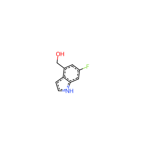 OCc1cc(F)cc2[nH]ccc12